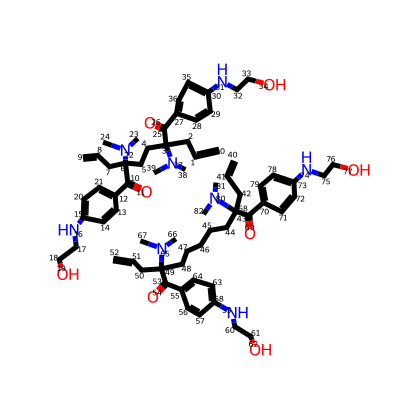 C=CCC(CCC(CC=C)(C(=O)c1ccc(NCCO)cc1)N(C)C)(C(=O)c1ccc(NCCO)cc1)N(C)C.C=CCC(CCCCCC(CC=C)(C(=O)c1ccc(NCCO)cc1)N(C)C)(C(=O)c1ccc(NCCO)cc1)N(C)C